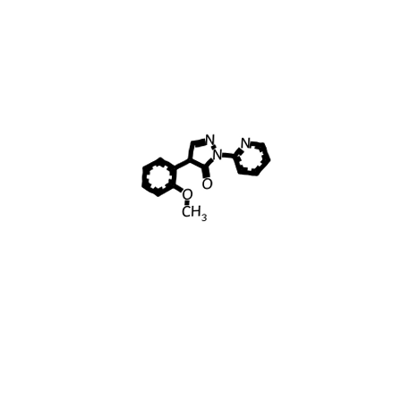 COc1ccccc1C1C=NN(c2ccccn2)C1=O